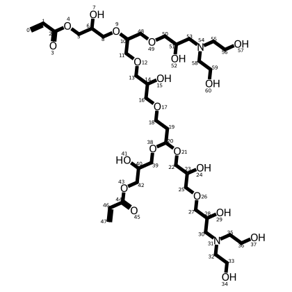 C=CC(=O)OCC(O)COC(COCC(O)COCCC(OCC(O)COCC(O)CN(CCO)CCO)OCC(O)COC(=O)C=C)COCC(O)CN(CCO)CCO